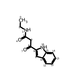 CCNC(=O)CC(=O)c1cc2ccccc2[nH]1